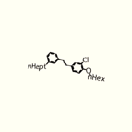 CCCCCCCc1cccc(CCc2ccc(OCCCCCC)c(Cl)c2)c1